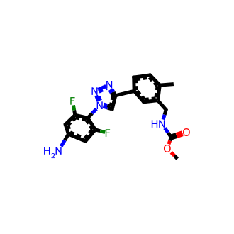 COC(=O)NCc1cc(-c2cn(-c3c(F)cc(N)cc3F)nn2)ccc1C